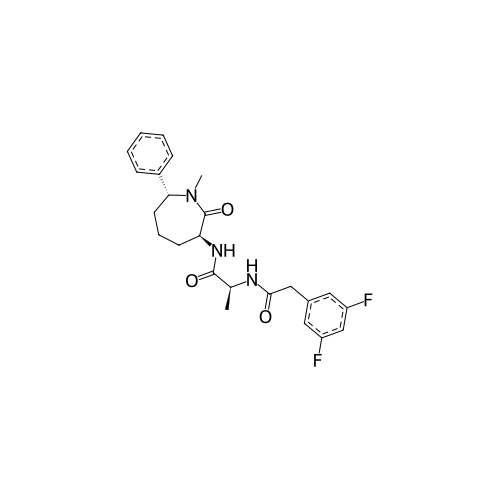 C[C@H](NC(=O)Cc1cc(F)cc(F)c1)C(=O)N[C@H]1CCC[C@H](c2ccccc2)N(C)C1=O